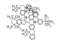 Cc1cc2c3c(c1)N(c1ccc(C(C)(C)C)cc1-c1ccc(C(C)(C)C)cc1)c1cc4c(cc1C3C1=C(c3cc5c(cc3C1)C(C)(C)CCC5(C)C)N2c1ccc2c(c1)C(C)(C)CCC2(C)C)C(C)(C)c1ccccc1C4